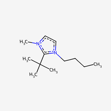 CCCCn1cc[n+](C)c1C(C)(C)C